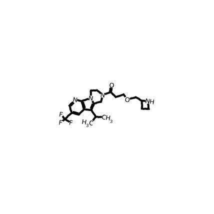 CC(C)c1c2n(c3ncc(C(F)(F)F)cc13)CCN(C(=O)CCOCC1CCN1)C2